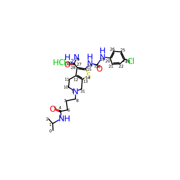 CC(C)NC(=O)CCCN1CCc2c(sc(NC(=O)Nc3ccc(Cl)cc3)c2C(N)=O)C1.Cl